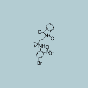 O=C1c2ccccc2C(=O)N1CCC1(Nc2ccc(Br)cc2[N+](=O)[O-])CC1